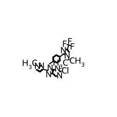 CC(C)n1cc(C(F)(F)F)nc1-c1ccc(Cn2c(-c3ccn(C)n3)nc3cnc(Cl)nc32)cc1